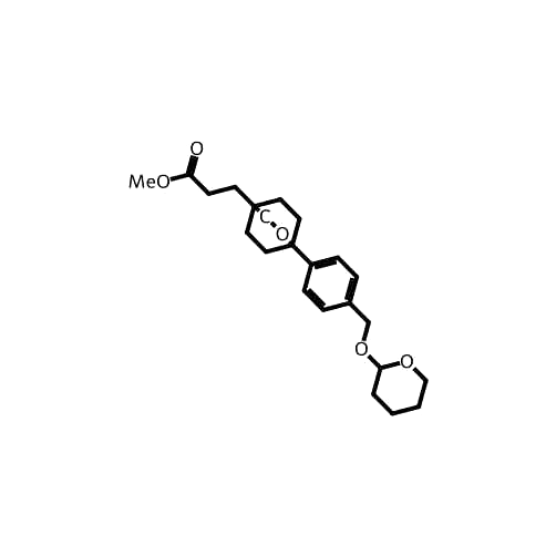 COC(=O)CCC12CCC(c3ccc(COC4CCCCO4)cc3)(CC1)OC2